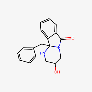 O=C1c2ccccc2C2(Cc3ccccc3)NCC(O)CN12